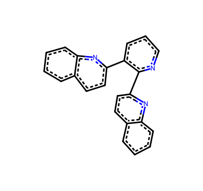 c1cnc(-c2ccc3ccccc3n2)c(-c2ccc3ccccc3n2)c1